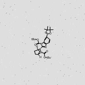 CC(C)(C)OC(=O)N1[C@@H]2CC[C@@H](C2)[C@H]1c1nc2ccc(B3OC(C)(C)C(C)(C)O3)cc2n1C(=O)OC(C)(C)C